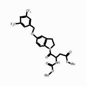 CC(C)(C)OC(=O)CC(NC(=O)OC(C)(C)C)C(=O)N1CCc2cc(OCc3cc(C(F)(F)F)cc(C(F)(F)F)c3)ccc21